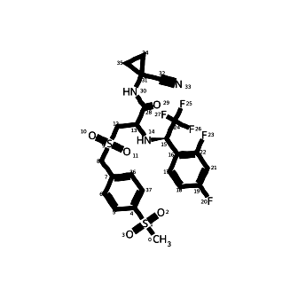 CS(=O)(=O)c1ccc(CS(=O)(=O)CC(N[C@H](c2ccc(F)cc2F)C(F)(F)F)C(=O)NC2(C#N)CC2)cc1